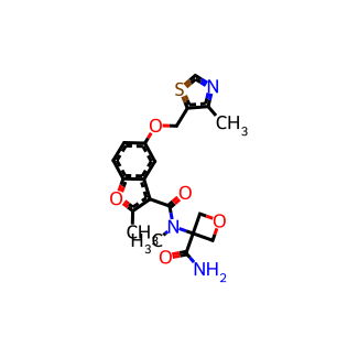 Cc1ncsc1COc1ccc2oc(C)c(C(=O)N(C)C3(C(N)=O)COC3)c2c1